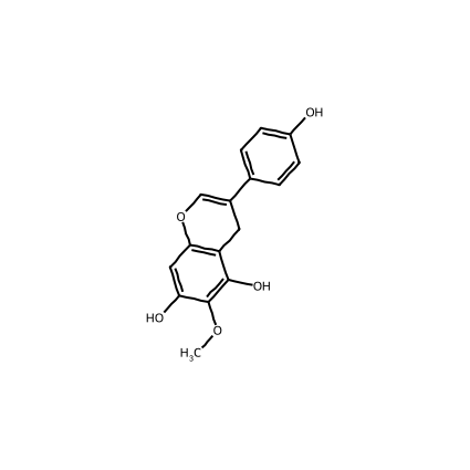 COc1c(O)cc2c(c1O)CC(c1ccc(O)cc1)=CO2